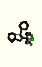 C[Si](C)(Cl)C1=C(c2ccccc2)c2ccccc2C1